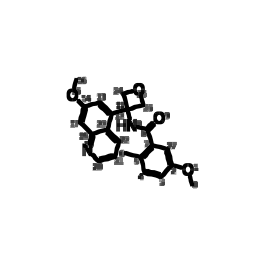 COc1ccc(C)c(C(=O)NC2(c3cc(OC)cc4ncccc34)COC2)c1